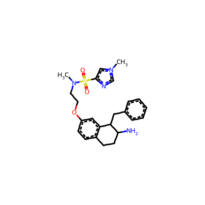 CN(CCOc1ccc2c(c1)C(Cc1ccccc1)C(N)CC2)S(=O)(=O)c1cn(C)cn1